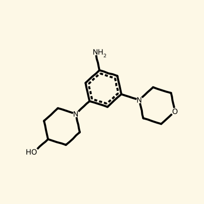 Nc1cc(N2CCOCC2)cc(N2CCC(O)CC2)c1